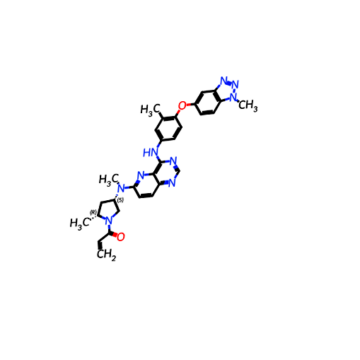 C=CC(=O)N1C[C@@H](N(C)c2ccc3ncnc(Nc4ccc(Oc5ccc6c(c5)nnn6C)c(C)c4)c3n2)C[C@H]1C